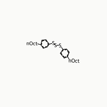 CCCCCCCCc1ccc(SSSc2ccc(CCCCCCCC)cc2)cc1